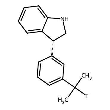 CC(C)(F)c1cccc([C@H]2CNc3ccccc32)c1